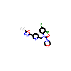 O=C(N1CCOCC1)N(Cc1ccc(-c2nnc(C(F)(F)F)o2)cn1)c1ccc(F)cc1F